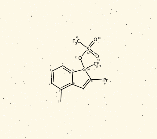 Cc1cccc2c1C=C(C(C)C)S2(OS(=O)(=O)C(F)(F)F)C(F)(F)F